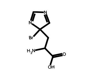 NC(CC1(Br)C=NC=N1)C(=O)O